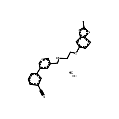 Cc1nc2cc(OCCNCc3cncc(-c4cccc(C#N)c4)c3)ccc2s1.Cl.Cl